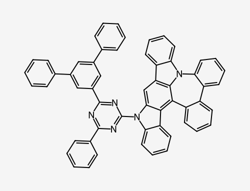 c1ccc(-c2cc(-c3ccccc3)cc(-c3nc(-c4ccccc4)nc(-n4c5ccccc5c5c6c7c(cc54)c4ccccc4n7-c4ccccc4-c4ccccc4-6)n3)c2)cc1